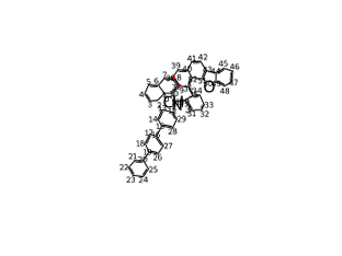 CC12CC=CC=C1C=CC=C2N(c1ccc(-c2ccc(-c3ccccc3)cc2)cc1)c1ccccc1-c1cccc2ccc3c4ccccc4oc3c12